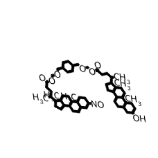 CC(CCC(=O)OCOCC1CCC(COCOC(=O)CCC(C)C2CCC3C4CCC5CC(N=O)CCC5(C)C4CCC23C)CC1)C1CCC2C3CCC4CC(O)CCC4(C)C3CCC12C